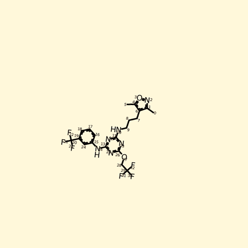 Cc1noc(C)c1CCCNc1nc(Nc2cccc(C(F)(F)F)c2)nc(OCC(F)(F)F)n1